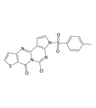 Cc1ccc(S(=O)(=O)n2ccc3c2nc(Cl)n2c(=O)c4sccc4nc32)cc1